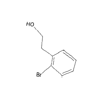 OCCc1ccc[c]c1Br